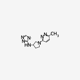 Cc1ccc(N2CCC(NC3=NN=C[N]3)C2)nn1